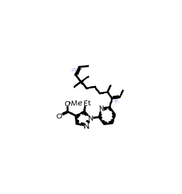 C/C=C\C(C)(C)CCCC(C)/C(=C\C)c1cccc(-n2ncc(C(=O)OC)c2CC)n1